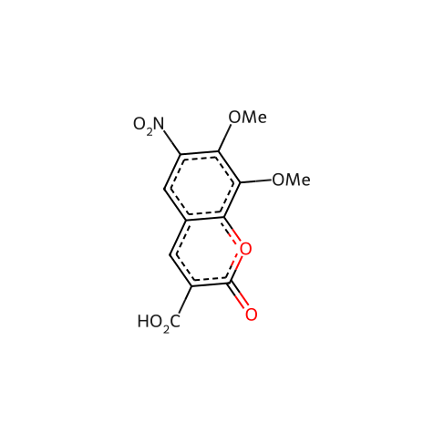 COc1c([N+](=O)[O-])cc2cc(C(=O)O)c(=O)oc2c1OC